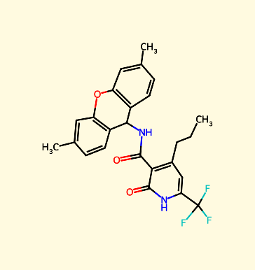 CCCc1cc(C(F)(F)F)[nH]c(=O)c1C(=O)NC1c2ccc(C)cc2Oc2cc(C)ccc21